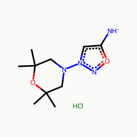 CC1(C)CN([n+]2cc([NH-])on2)CC(C)(C)O1.Cl